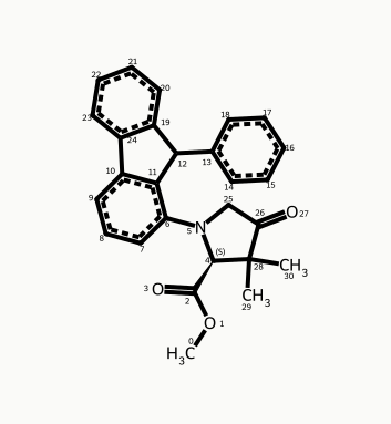 COC(=O)[C@H]1N(c2cccc3c2C(c2ccccc2)c2ccccc2-3)CC(=O)C1(C)C